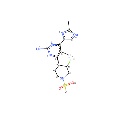 Cc1nc(-c2nc(N)nc([C@@H]3CCN(S(C)(=O)=O)C[C@@H]3F)c2C(F)(F)F)c[nH]1